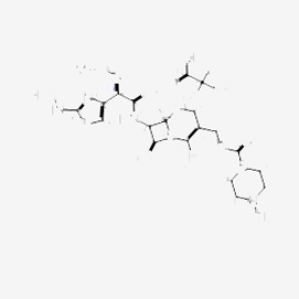 CO/N=C(/C(=O)NC1C(=O)N2C(C(=O)O)=C(COC(=O)N3CCN(C)CC3)CS[C@H]12)c1csc(NC=O)n1.O=C(O)C(F)(F)F